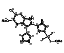 COCC(F)(F)c1n[nH]c(-c2[nH]c3cc(Cl)c(OC)nc3c2-c2cn[nH]c2)n1